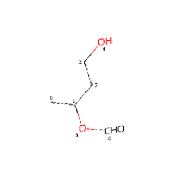 CC(CCO)OC=O